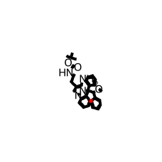 COC(c1ccccc1)C(c1ccccc1)(c1ccccc1)n1ncc(CCNC(=O)OC(C)(C)C)c1N